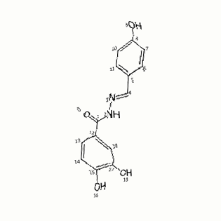 O=C(NN=Cc1ccc(O)cc1)c1ccc(O)c(O)c1